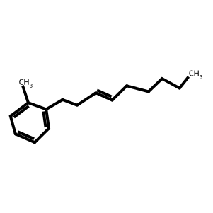 CCCCCC=CCCc1ccccc1C